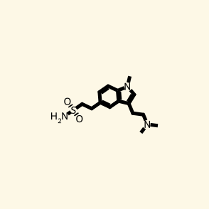 CN(C)CCc1cn(C)c2ccc(CCS(N)(=O)=O)cc12